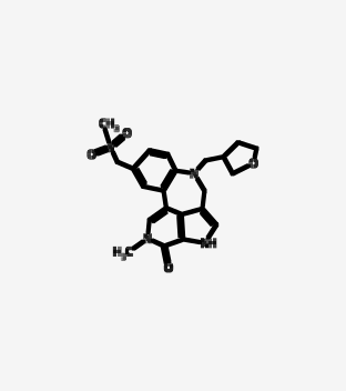 Cn1cc2c3c(c[nH]c3c1=O)CN(CC1CCOC1)c1ccc(CS(C)(=O)=O)cc1-2